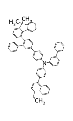 C=CC/C=C\C(=C1\C=CC=CC1)c1ccc(N(c2ccc(-c3ccc(-c4cccc5c4-c4ccccc4C5(C)C)c(-c4ccccc4)c3)cc2)c2cccc(-c3ccccc3)c2)cc1